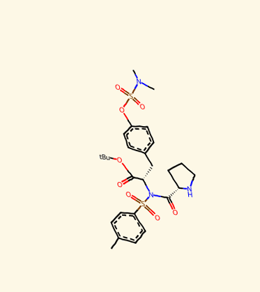 Cc1ccc(S(=O)(=O)N(C(=O)[C@@H]2CCCN2)[C@@H](Cc2ccc(OS(=O)(=O)N(C)C)cc2)C(=O)OC(C)(C)C)cc1